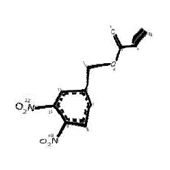 C=CC(=O)OCc1ccc([N+](=O)[O-])c([N+](=O)[O-])c1